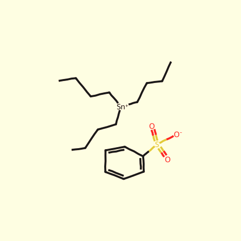 CCC[CH2][Sn+]([CH2]CCC)[CH2]CCC.O=S(=O)([O-])c1ccccc1